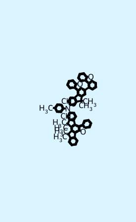 Cc1cc(C)c(N(c2ccc3c(c2)C(C)(C)c2cc(-c4cccc5oc6ccccc6c45)c4oc5ccccc5c4c2-3)c2ccc3c(c2)C(C)(C)c2c4c(c5oc6ccccc6c5c2-3)-c2ccccc2C4(C)C)c(C)c1